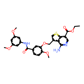 CCOC(=O)c1cnc(N)c2c(COc3cc(C(=O)Nc4cc(OC)cc(OC)c4)ccc3OC)csc12